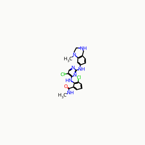 CNC(=O)c1cccc(Cl)c1Nc1nc(Nc2ccc3c(c2)N(C)CCNC3)ncc1Cl